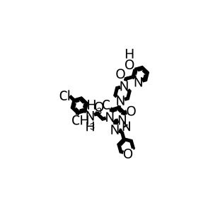 Cc1cc(Cl)ccc1NC(=O)Cn1c(C)c(N2CCN(C(=O)c3ncccc3O)CC2)c(=O)n2nc(C3=CCOCC3)nc12